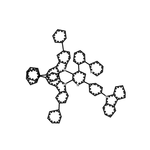 c1ccc(-c2ccc3c(c2)c2cc(-c4ccccc4)ccc2n3-c2nc(-c3ccc(-n4c5ccccc5c5ccccc54)cc3)cc(-c3ccccc3-c3ccccn3)c2-n2c3ccc(-c4ccccc4)cc3c3cc(-c4ccccc4)ccc32)cc1